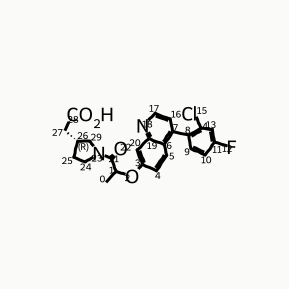 CC(Oc1ccc2c(-c3ccc(F)cc3Cl)ccnc2c1)C(=O)N1CC[C@H](CC(=O)O)C1